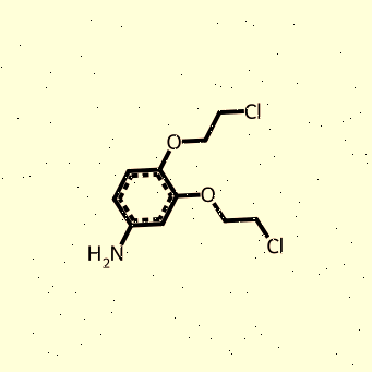 Nc1ccc(OCCCl)c(OCCCl)c1